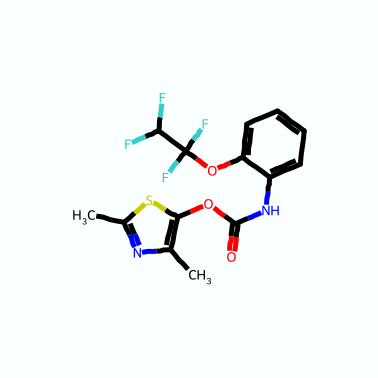 Cc1nc(C)c(OC(=O)Nc2ccccc2OC(F)(F)C(F)F)s1